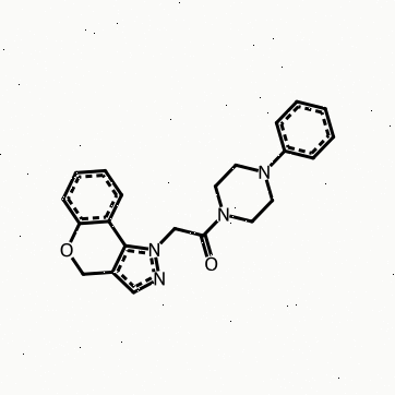 O=C(Cn1ncc2c1-c1ccccc1OC2)N1CCN(c2ccccc2)CC1